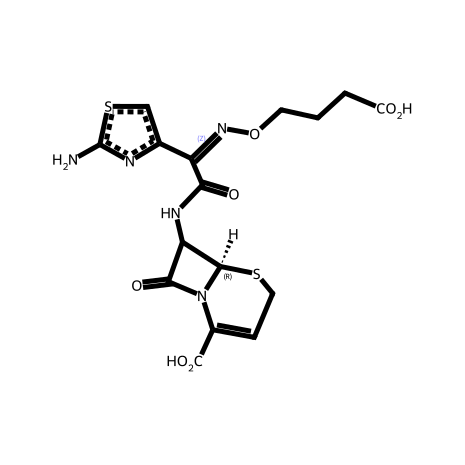 Nc1nc(/C(=N/OCCCC(=O)O)C(=O)NC2C(=O)N3C(C(=O)O)=CCS[C@H]23)cs1